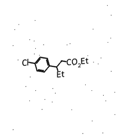 CCOC(=O)CC(CC)c1ccc(Cl)cc1